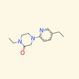 CCc1ccc(N2CCN(CC)C(=O)C2)nc1